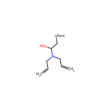 C=CCN(CC=C)C(O)CCCCCC